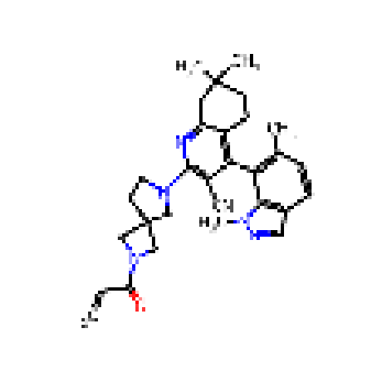 C=CC(=O)N1CC2(CCN(c3nc4c(c(-c5c(C)ccc6cnn(C)c56)c3C#N)CCC(C)(C)C4)C2)C1